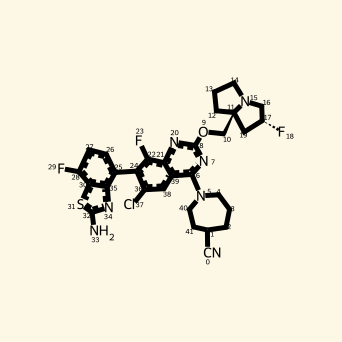 N#CC1CCCN(c2nc(OC[C@@]34CCCN3C[C@H](F)C4)nc3c(F)c(-c4ccc(F)c5sc(N)nc45)c(Cl)cc23)CC1